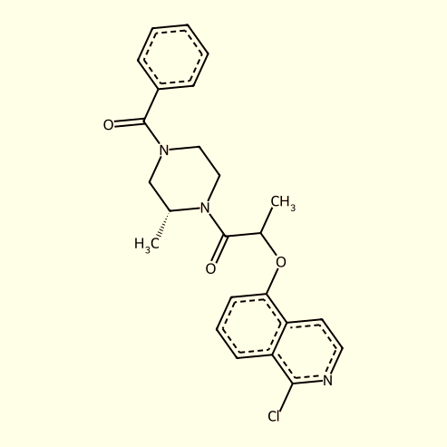 CC(Oc1cccc2c(Cl)nccc12)C(=O)N1CCN(C(=O)c2ccccc2)C[C@H]1C